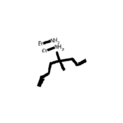 C=CCCC(C)(C)CC=C.CCN.CCN